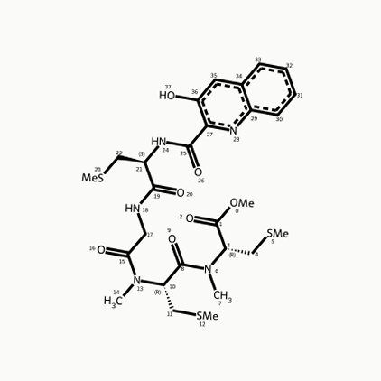 COC(=O)[C@H](CSC)N(C)C(=O)[C@H](CSC)N(C)C(=O)CNC(=O)[C@@H](CSC)NC(=O)c1nc2ccccc2cc1O